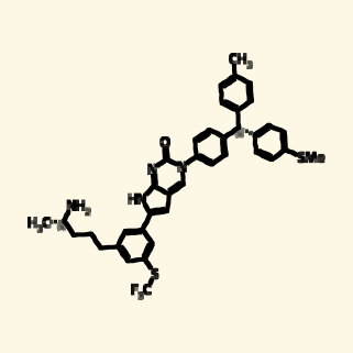 CSc1ccc([C@@H](c2ccc(C)cc2)c2ccc(-n3cc4cc(-c5cc(CCC[C@H](C)N)cc(SC(F)(F)F)c5)[nH]c4nc3=O)cc2)cc1